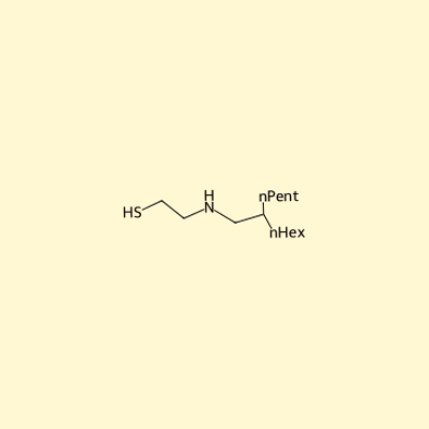 CCCCCCC(CCCCC)CNCCS